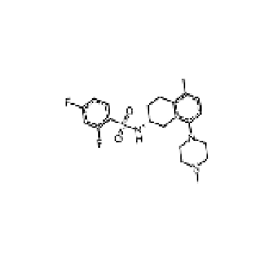 Cc1ccc(N2CCN(C)CC2)c2c1CC[C@@H](NS(=O)(=O)c1ccc(F)cc1F)C2